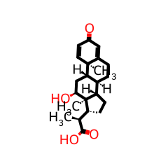 C[C@H](C(=O)O)[C@H]1CC[C@H]2[C@@H]3CCC4=CC(=O)C=C[C@]4(C)[C@H]3C[C@H](O)[C@]12C